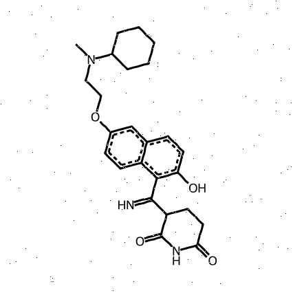 CN(CCOc1ccc2c(C(=N)C3CCC(=O)NC3=O)c(O)ccc2c1)C1CCCCC1